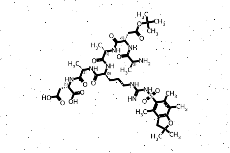 Cc1c(C)c(S(=O)(=O)NC(=N)NCCC[C@H](NC(=O)[C@H](C)NC(=O)[C@H](CC(=O)OC(C)(C)C)NC(=O)[C@H](C)N)C(=O)N[C@@H](C)C(=O)N[C@@H](CC(=O)O)C(=O)O)c(C)c2c1OC(C)(C)C2